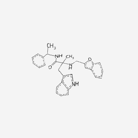 CC(NC(=O)C(C)(Cc1c[nH]c2ccccc12)NCc1cc2ccccc2o1)c1ccccc1